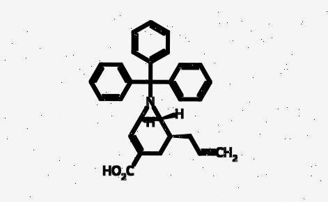 C=CC[C@H]1CC(C(=O)O)=C[C@H]2[C@@H]1N2C(c1ccccc1)(c1ccccc1)c1ccccc1